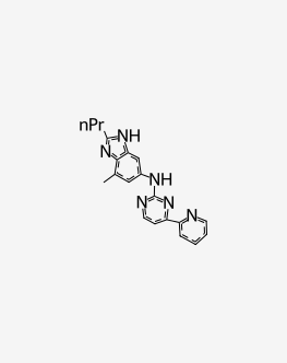 CCCc1nc2c(C)cc(Nc3nccc(-c4ccccn4)n3)cc2[nH]1